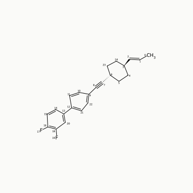 CC=C[C@H]1CC[C@H](C#Cc2ccc(-c3ccc(F)c(F)c3)cc2)CC1